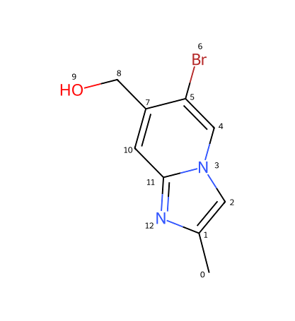 Cc1cn2cc(Br)c(CO)cc2n1